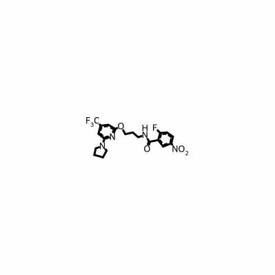 O=C(NCCCOc1cc(C(F)(F)F)cc(N2CCCC2)n1)c1cc([N+](=O)[O-])ccc1F